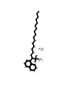 CCCCCCCCCCCCCCCCC(c1cccc2ccccc12)C(C)(C)N.O